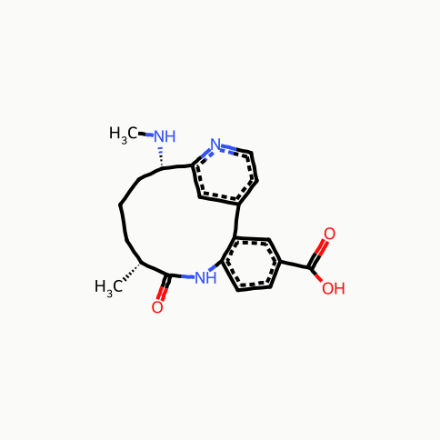 CN[C@H]1CCC[C@@H](C)C(=O)Nc2ccc(C(=O)O)cc2-c2ccnc1c2